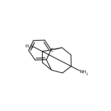 NC12CC3CC1(N)CC(C2)c1ccccc13